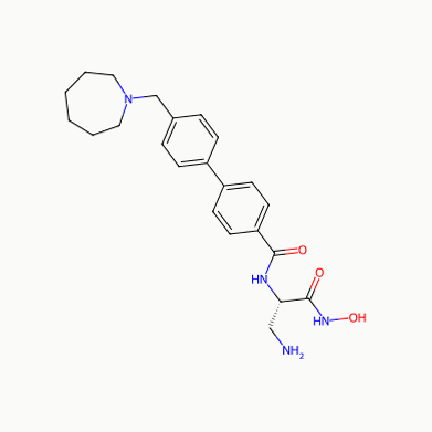 NC[C@H](NC(=O)c1ccc(-c2ccc(CN3CCCCCC3)cc2)cc1)C(=O)NO